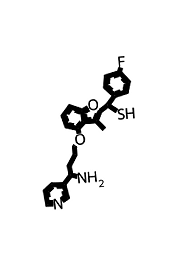 Cc1c(C(S)c2ccc(F)cc2)oc2cccc(OCCCC(N)c3cccnc3)c12